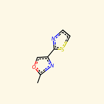 Cc1nc(-c2nccs2)co1